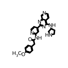 COc1ccc(CC(=O)Nc2cc(-c3nc(N[C@@H]4CCNC4)c4ccncc4n3)ccn2)cc1